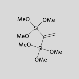 C=C([Si](OC)(OC)OC)[Si](OC)(OC)OC